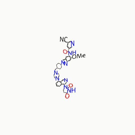 COc1cc2nn([C@H]3CC[C@H](CN4CCN(c5cccc6c(N7CCC(=O)NC7=O)cncc56)CC4)CC3)cc2cc1NC(=O)c1cncc(C#N)c1